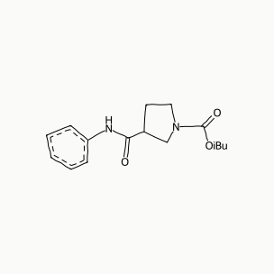 CC(C)COC(=O)N1CCC(C(=O)Nc2ccccc2)C1